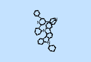 N#Cc1ccc2c(c1)c1ccc3c(c4ccccc4n3-c3ccccc3)c1n2-c1ccccc1-c1cc(-c2ccccc2)cc(-c2ccccc2)n1